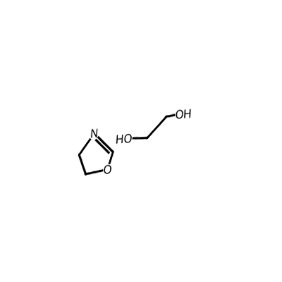 C1=NCCO1.OCCO